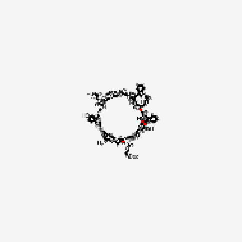 CCCCCCCCCCCCOC(=O)NC[C@@H]1NC(=O)[C@@H]2CCCN2C(=O)[C@H](CC(N)=O)NC(=O)[C@H](C)N(C)C(=O)[C@H](Cc2ccc(O)cc2)NC(=O)CSC[C@@H](C(=O)NCC(N)=O)NC(=O)[C@H](CC(C)C)NC(=O)[C@H](CCCC)N(C)C(=O)[C@H](CCCC)N(C)C(=O)[C@@H]2Cc3cn(c4ccccc34)CC(=O)NCC[C@H](NC(=O)[C@H](Cc3c[nH]c4ccccc34)NC(=O)[C@@H]3C[C@@H](O)CN3C(=O)[C@H](CC(C)C)NC1=O)C(=O)N2